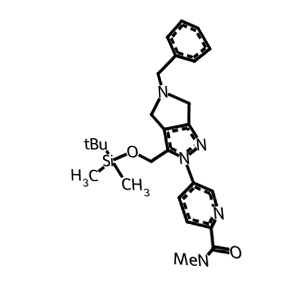 CNC(=O)c1ccc(-n2nc3c(c2CO[Si](C)(C)C(C)(C)C)CN(Cc2ccccc2)C3)cn1